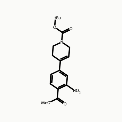 COC(=O)c1ccc(C2=CCN(C(=O)OC(C)(C)C)CC2)cc1[N+](=O)[O-]